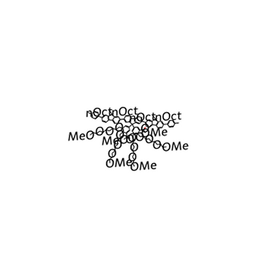 CCCCCCCCC1(CCCCCCCC)c2cc(-c3ccc(C)cc3)ccc2-c2ccc(-c3ccc4c(c3)C(c3cc(OCCOCCOCCOC)c(OCCOCCOCCOC)c(C(=O)OC)c3)(c3cc(OCCOCCOCCOC)c(OCCOCCOCCOC)c(C(=O)OC)c3)c3cc(-c5ccc6c(c5)C(CCCCCCCC)(CCCCCCCC)c5cc(-c7ccc(C)cc7)ccc5-6)ccc3-4)cc21